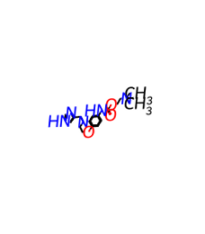 CN(C)CCOC(=O)Nc1ccc2c(c1)N(Cc1c[nH]cn1)CCO2